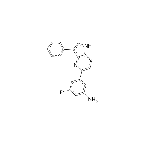 Nc1cc(F)cc(-c2ccc3[nH]cc(-c4ccccc4)c3n2)c1